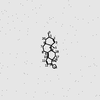 CC1C=C[C@@]2(C)C(CCC3=C4C=CC(=O)[C@@]4(C)CCC32)C1